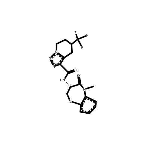 CN1C(=O)[C@@H](NC(=O)c2nnn3c2CC(C(F)(F)F)CC3)COc2ccccc21